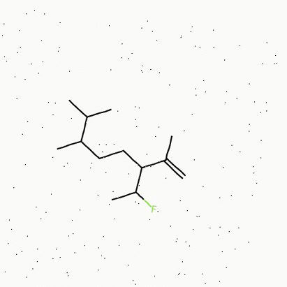 C=C(C)C(CCC(C)C(C)C)C(C)F